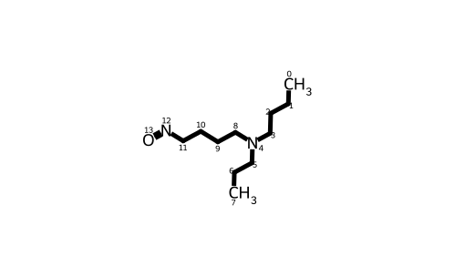 CCCCN(CCC)CCCCN=O